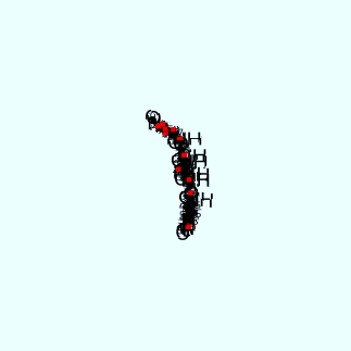 O=C=Nc1ccc2c(c1)Cc1cc(NC(=O)OCCCNC(=O)Nc3ccnc(NC(=O)NCCCOC(=O)Nc4ccc5c(c4)Cc4cc(N=C=O)ccc4-5)n3)ccc1-2